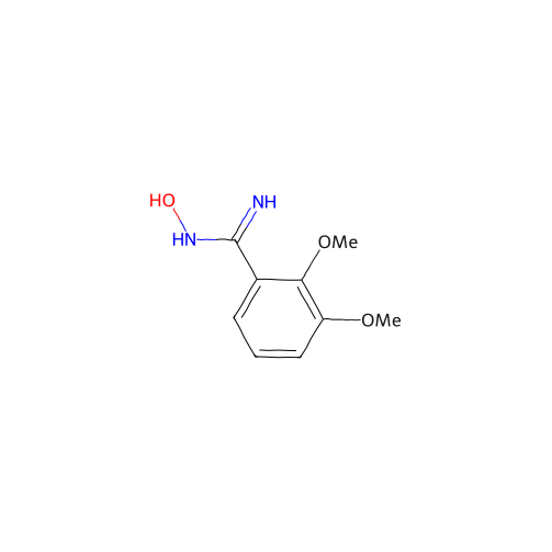 COc1cccc(C(=N)NO)c1OC